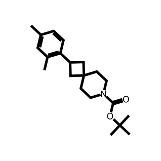 Cc1ccc(C2CC3(CCN(C(=O)OC(C)(C)C)CC3)C2)c(C)c1